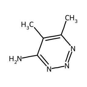 Cc1nnnc(N)c1C